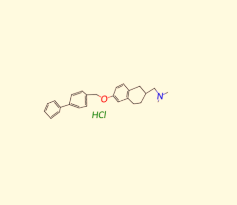 CN(C)CC1CCc2cc(OCc3ccc(-c4ccccc4)cc3)ccc2C1.Cl